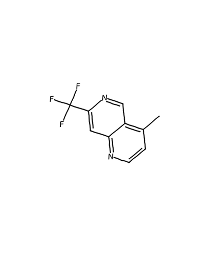 Cc1ccnc2cc(C(F)(F)F)ncc12